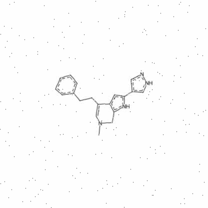 CN1C=C(CCc2ccccc2)c2cc(-c3cn[nH]c3)[nH]c2C1